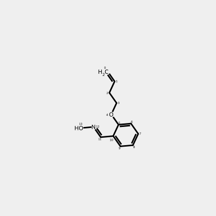 C=CCCOc1ccccc1/C=N/O